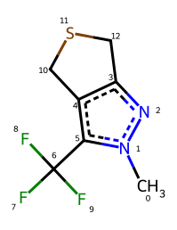 Cn1nc2c(c1C(F)(F)F)CSC2